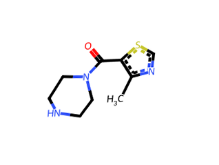 Cc1ncsc1C(=O)N1CCNCC1